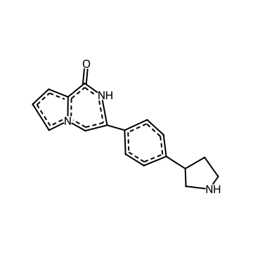 O=c1[nH]c(-c2ccc(C3CCNC3)cc2)cn2cccc12